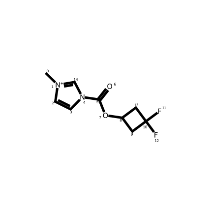 C[n+]1ccn(C(=O)OC2CC(F)(F)C2)c1